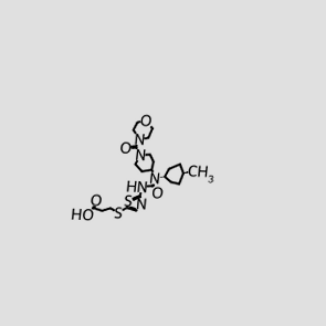 C[C@H]1CC[C@H](N(C(=O)Nc2ncc(SCCC(=O)O)s2)C2CCN(C(=O)N3CCOCC3)CC2)CC1